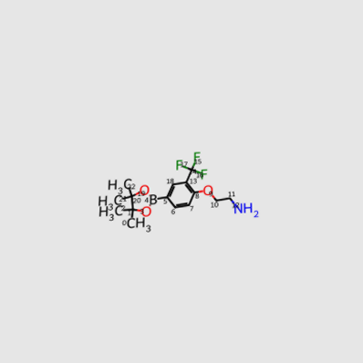 CC1(C)OB(c2ccc(OCCN)c(C(F)(F)F)c2)OC1(C)C